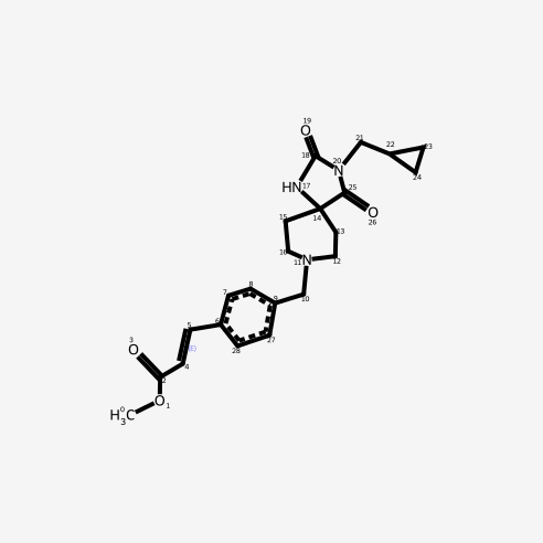 COC(=O)/C=C/c1ccc(CN2CCC3(CC2)NC(=O)N(CC2CC2)C3=O)cc1